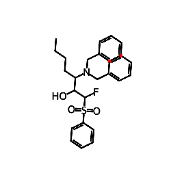 CCCCC(C(O)C(F)S(=O)(=O)c1ccccc1)N(Cc1ccccc1)Cc1ccccc1